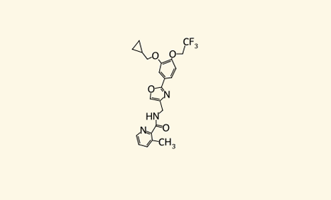 Cc1cccnc1C(=O)NCc1coc(-c2ccc(OCC(F)(F)F)c(OCC3CC3)c2)n1